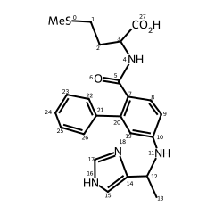 CSCCC(NC(=O)c1ccc(NC(C)c2c[nH]cn2)cc1-c1ccccc1)C(=O)O